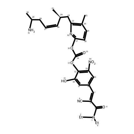 CCN(CC)C(=O)/C(C#N)=C/c1cc(O)c(OC(=O)Oc2ccc(C)c(C[C@H](C)/C=C\CC(C)N)n2)c([N+](=O)[O-])c1